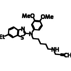 C#CCNCCCCCN(c1ccc(OC)c(OC)c1)c1nc2ccc(CC)cc2s1